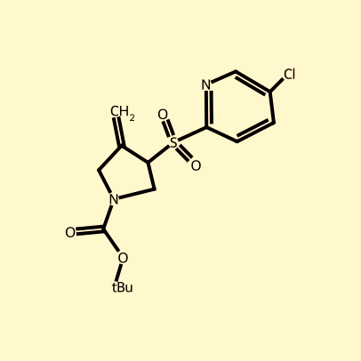 C=C1CN(C(=O)OC(C)(C)C)CC1S(=O)(=O)c1ccc(Cl)cn1